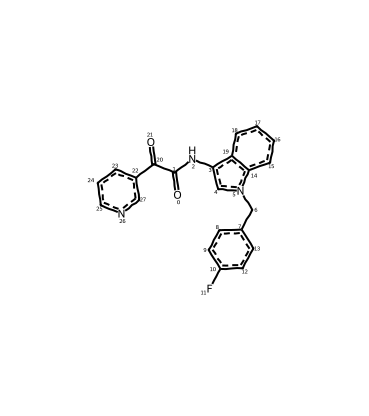 O=C(Nc1cn(Cc2ccc(F)cc2)c2ccccc12)C(=O)c1cccnc1